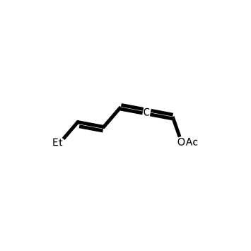 CCC=CC=C=COC(C)=O